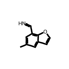 Cc1cc(C=N)c2occc2c1